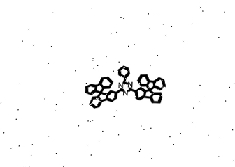 c1ccc(-c2nc(-c3ccc4c(c3)C3(c5ccccc5-c5ccccc53)c3ccccc3-4)nc(-c3ccc4c(c3)C3(c5ccccc5-c5ccccc53)c3ccccc3-4)n2)cc1